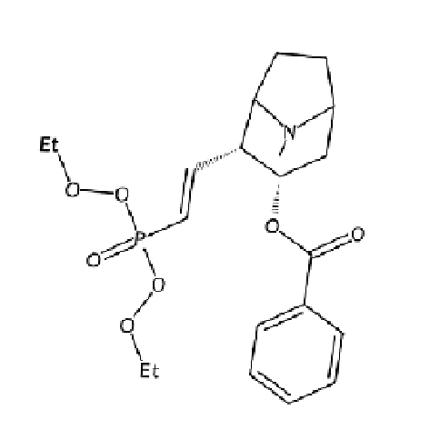 CCOOP(=O)(/C=C/[C@@H]1C2CCC(C[C@@H]1OC(=O)c1ccccc1)N2C)OOCC